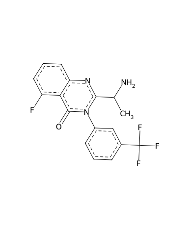 CC(N)c1nc2cccc(F)c2c(=O)n1-c1cccc(C(F)(F)F)c1